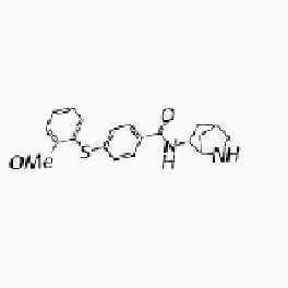 COc1ccccc1Sc1ccc(C(=O)NC2CC3CNC2C3)cc1